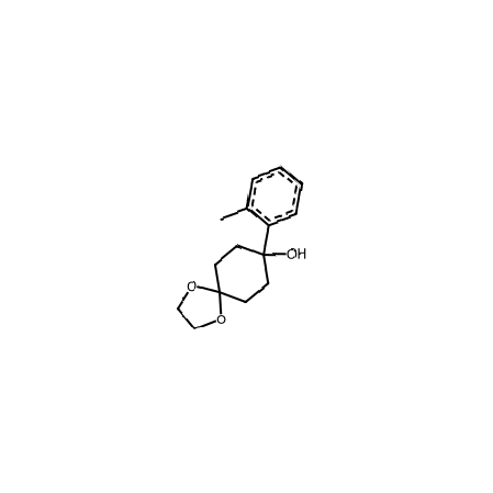 Cc1ccccc1C1(O)CCC2(CC1)OCCO2